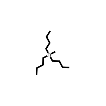 CCC[CH2][Ti]([CH3])([CH2]CCC)[CH2]CCC